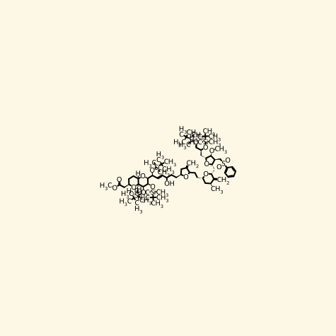 C=C1C[C@H](CCC(O)C=C[C@H](O[Si](C)(C)C(C)(C)C)[C@@H]2O[C@H]3CC[C@H](CC(=O)OC)O[C@@H]3[C@H](O[Si](C)(C)C(C)(C)C)[C@@H]2O[Si](C)(C)C(C)(C)C)OC1CC[C@H]1C[C@@H](C)C(=C)[C@@H](C[C@@H]2O[C@H](C[C@@H](CO[Si](C)(C)C(C)(C)C)O[Si](C)(C)C(C)(C)C)[C@H](OC)[C@H]2CS(=O)(=O)c2ccccc2)O1